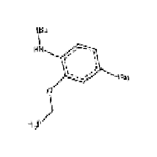 CC(C)(C)Nc1ccc(C(C)(C)C)cc1OCP